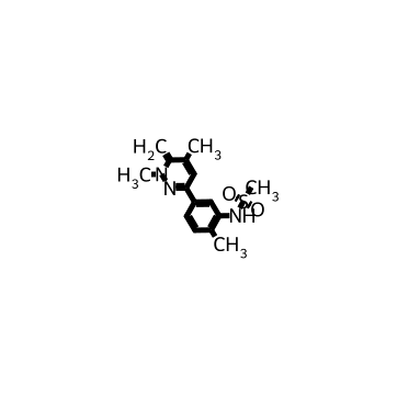 C=C1C(C)=CC(c2ccc(C)c(NS(C)(=O)=O)c2)=NN1C